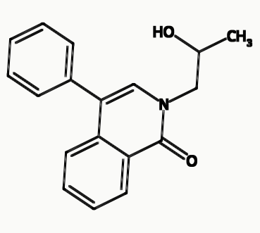 CC(O)Cn1cc(-c2ccccc2)c2ccccc2c1=O